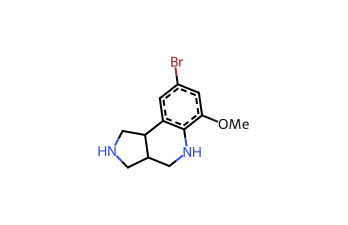 COc1cc(Br)cc2c1NCC1CNCC21